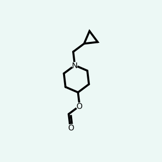 O=COC1CCN(CC2CC2)CC1